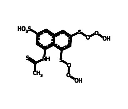 CC(=S)Nc1cc(S(=O)(=O)O)cc2cc(SOOO)cc(SOOO)c12